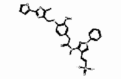 COc1cc(CC(=O)N(C)c2nn(-c3ccccc3)cc2C=CP(=O)(O)O)ccc1OCc1nc(-c2ccco2)oc1C